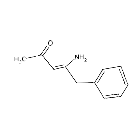 CC(=O)/C=C(\N)Cc1ccccc1